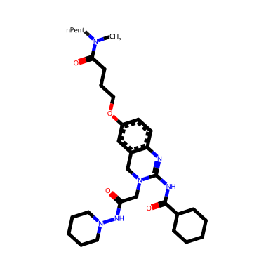 CCCCCN(C)C(=O)CCCOc1ccc2c(c1)CN(CC(=O)NN1CCCCC1)C(NC(=O)C1CCCCC1)=N2